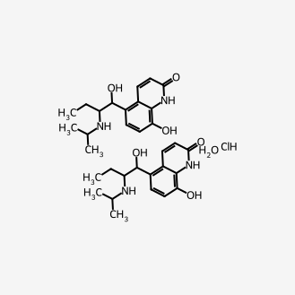 CCC(NC(C)C)C(O)c1ccc(O)c2[nH]c(=O)ccc12.CCC(NC(C)C)C(O)c1ccc(O)c2[nH]c(=O)ccc12.Cl.O